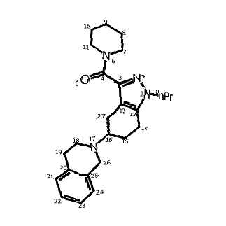 CCCn1nc(C(=O)N2CCCCC2)c2c1CCC(N1CCc3ccccc3C1)C2